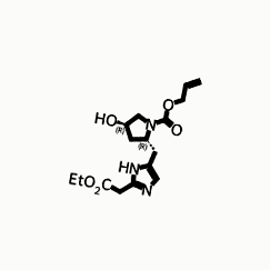 C=CCOC(=O)N1C[C@H](O)C[C@H]1Cc1cnc(CC(=O)OCC)[nH]1